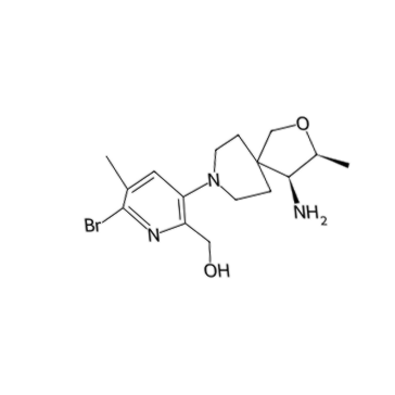 Cc1cc(N2CCC3(CC2)CO[C@@H](C)[C@H]3N)c(CO)nc1Br